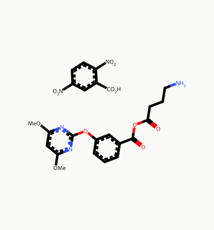 COc1cc(OC)nc(Oc2cccc(C(=O)OC(=O)CCCN)c2)n1.O=C(O)c1cc([N+](=O)[O-])ccc1[N+](=O)[O-]